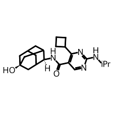 CC(C)Nc1ncc(C(=O)N[C@H]2C3CC4CC2C[C@@](O)(C4)C3)c(C2CCC2)n1